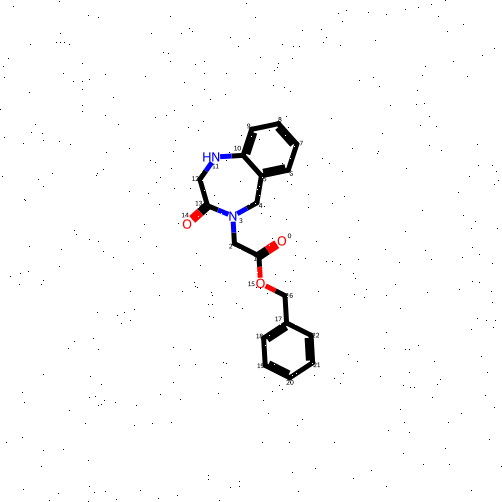 O=C(CN1Cc2ccccc2NCC1=O)OCc1ccccc1